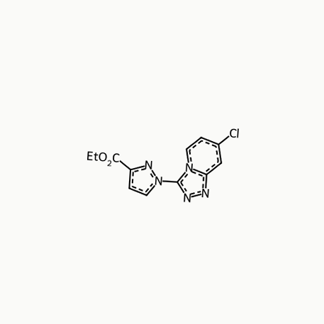 CCOC(=O)c1ccn(-c2nnc3cc(Cl)ccn23)n1